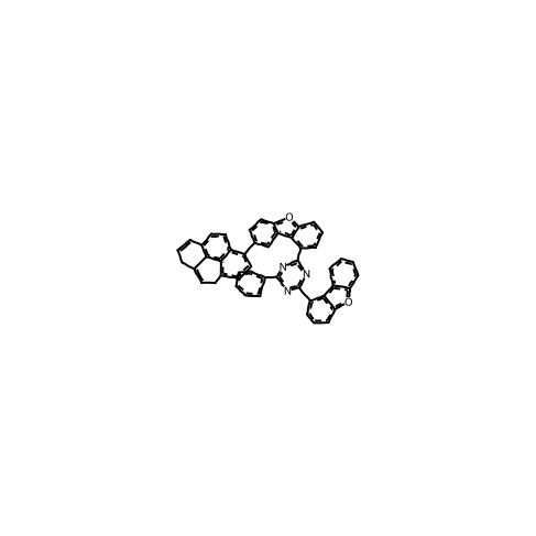 C1=Cc2ccc3c(-c4ccc5oc6cccc(-c7nc(-c8ccccc8)nc(-c8cccc9oc%10ccccc%10c89)n7)c6c5c4)ccc4c3c2C(=CC4)C1